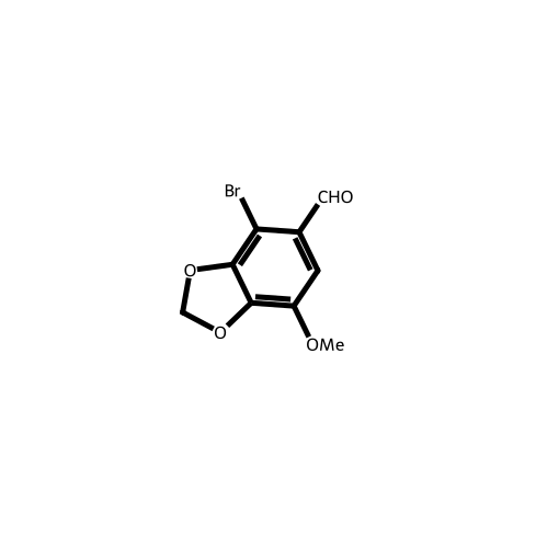 COc1cc(C=O)c(Br)c2c1OCO2